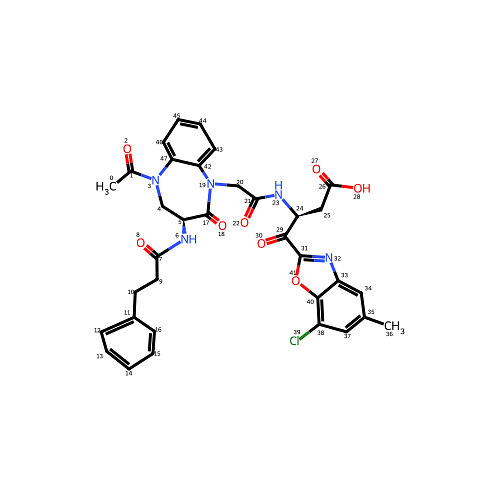 CC(=O)N1C[C@H](NC(=O)CCc2ccccc2)C(=O)N(CC(=O)N[C@@H](CC(=O)O)C(=O)c2nc3cc(C)cc(Cl)c3o2)c2ccccc21